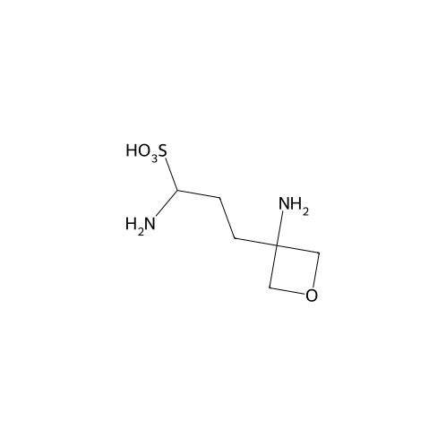 NC(CCC1(N)COC1)S(=O)(=O)O